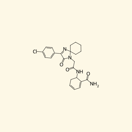 NC(=O)C1=CC=CCC1NC(=O)CN1C(=O)C(c2ccc(Cl)cc2)=NC12CCCCC2